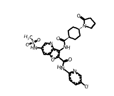 CS(=O)(=O)Nc1cnc2c(NC(=O)[C@H]3CC[C@H](N4CCCC4=O)CC3)c(C(=O)Nc3ccc(Cl)cn3)oc2c1